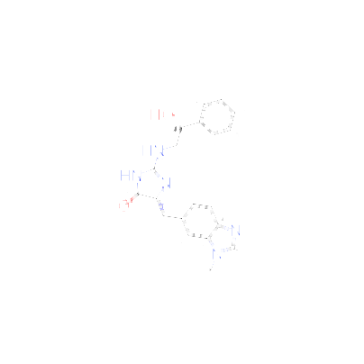 Cn1cnc2ccc(/C=C3\N=C(NC[C@H](O)c4ccccc4)NC3=O)cc21